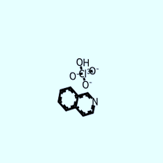 [O-][Cl+3]([O-])([O-])O.c1ccc2cnccc2c1